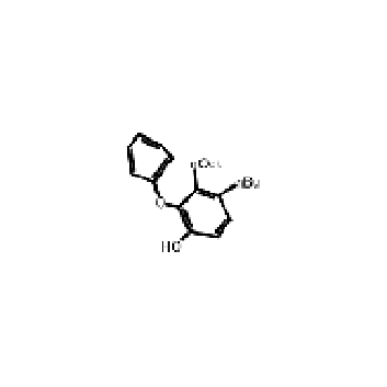 CCCCCCCCc1c(CCCC)ccc(O)c1Oc1ccccc1